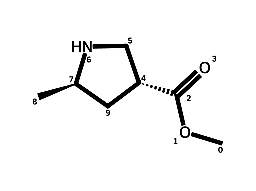 COC(=O)[C@H]1CN[C@H](C)C1